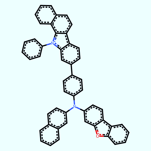 c1ccc(-n2c3cc(-c4ccc(N(c5ccc6ccccc6c5)c5ccc6c(c5)oc5ccccc56)cc4)ccc3c3ccc4ccccc4c32)cc1